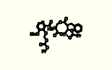 COc1ccnc(C(=O)N[C@H]2COC(=O)C(Cc3ccccc3)C(OC(=O)C(C)C)[C@H](C)OC2=O)c1OCOC(=O)OC(C)C